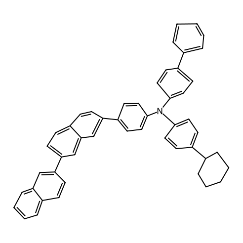 c1ccc(-c2ccc(N(c3ccc(-c4ccc5ccc(-c6ccc7ccccc7c6)cc5c4)cc3)c3ccc(C4CCCCC4)cc3)cc2)cc1